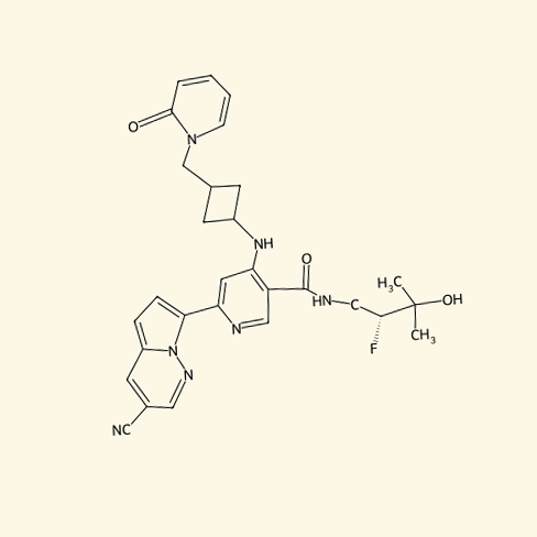 CC(C)(O)[C@H](F)CNC(=O)c1cnc(-c2ccc3cc(C#N)cnn23)cc1NC1CC(Cn2ccccc2=O)C1